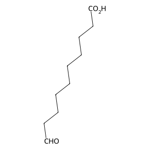 O=CCCCCCCCCC(=O)O